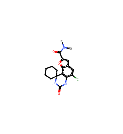 CCN(CC)C(=O)c1cc2cc(Cl)c3c(c2o1)C1(CCCCC1)NC(=O)N3